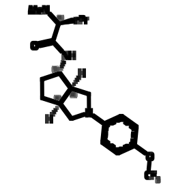 CCC[C@H](NC)C(=O)N[C@H]1CC[C@@H]2CN(c3ccc(OC(F)(F)F)cc3)C[C@@H]21